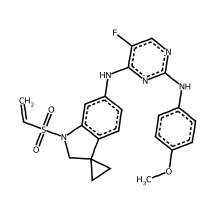 C=CS(=O)(=O)N1CC2(CC2)c2ccc(Nc3nc(Nc4ccc(OC)cc4)ncc3F)cc21